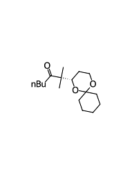 CCCCC(=O)C(C)(C)[C@@H]1CCOC2(CCCCC2)O1